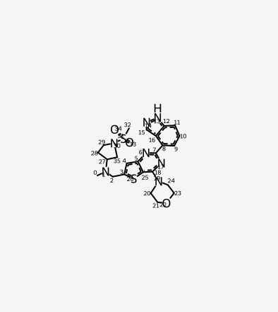 CN(Cc1cc2nc(-c3cccc4[nH]ncc34)nc(N3CCOCC3)c2s1)C1CCN(S(C)(=O)=O)C1